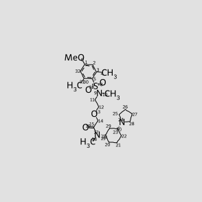 COc1cc(C)c(S(=O)(=O)N(C)CCOCC(=O)N(C)[C@H]2CCC[C@@H](N3CCCC3)C2)c(C)c1